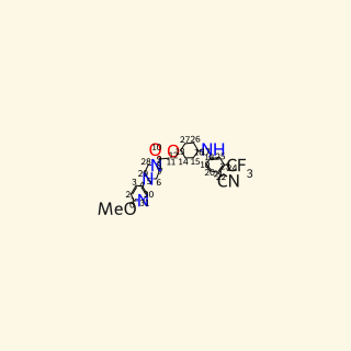 COc1ccc(N2CCN(C(=O)CO[C@H]3CC[C@H](Nc4ccc(C#N)c(C(F)(F)F)c4)CC3)CC2)cn1